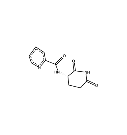 O=C1CC[C@H](NC(=O)c2ccccn2)C(=O)N1